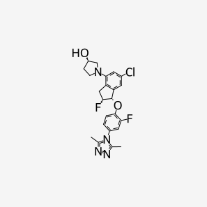 Cc1nnc(C)n1-c1ccc(O[C@H]2c3cc(Cl)cc(N4CC[C@@H](O)C4)c3C[C@@H]2F)c(F)c1